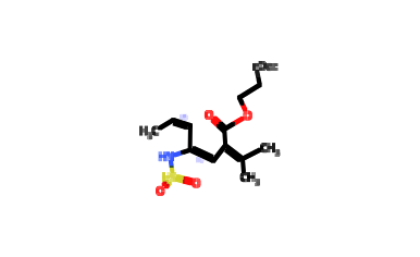 C/C=C\C(=C/C(C(=O)OCCCCCCCCCCCC)=C(C)C)N[SH](=O)=O